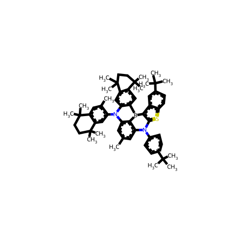 Cc1cc2c3c(c1)N(c1ccc(C(C)(C)C)cc1)c1sc4ccc(C(C)(C)C)cc4c1B3c1cc3c(cc1N2c1cc2c(cc1C)C(C)(C)CCC2(C)C)C(C)(C)CCC3(C)C